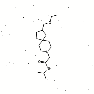 CCOC[C@@H]1CCC2(CCN(CC(=O)NC(C)C)CC2)C1